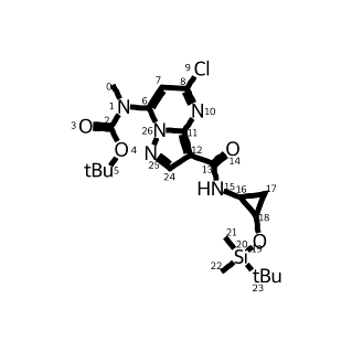 CN(C(=O)OC(C)(C)C)c1cc(Cl)nc2c(C(=O)NC3CC3O[Si](C)(C)C(C)(C)C)cnn12